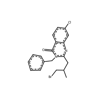 CC(CBr)Cc1nc2cc(Cl)ccc2c(=O)n1Cc1ccccc1